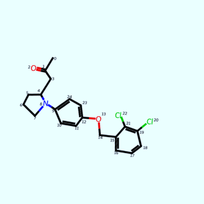 CC(=O)CC1CCCN1c1ccc(OCc2cccc(Cl)c2Cl)cc1